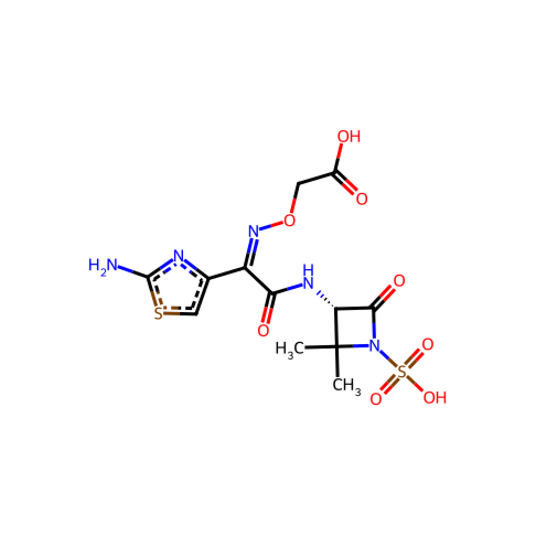 CC1(C)[C@H](NC(=O)/C(=N\OCC(=O)O)c2csc(N)n2)C(=O)N1S(=O)(=O)O